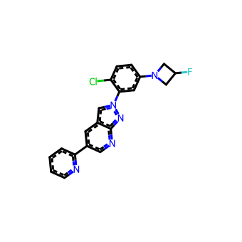 FC1CN(c2ccc(Cl)c(-n3cc4cc(-c5ccccn5)cnc4n3)c2)C1